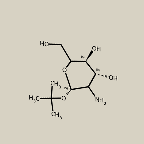 CC(C)(C)O[C@@H]1OC(CO)[C@@H](O)[C@H](O)C1N